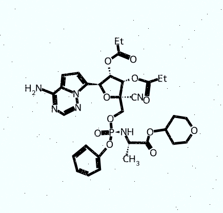 CCC(=O)O[C@H]1[C@H](c2ccc3c(N)ncnn23)O[C@](C#N)(CO[P@@](=O)(N[C@@H](C)C(=O)OC2CCOCC2)Oc2ccccc2)[C@H]1OC(=O)CC